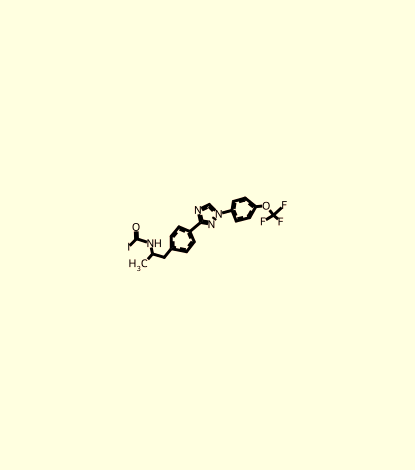 CC(Cc1ccc(-c2ncn(-c3ccc(OC(F)(F)F)cc3)n2)cc1)NC(=O)I